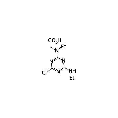 CCNc1nc(Cl)nc(N(CC)CC(=O)O)n1